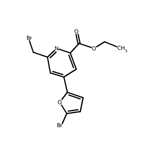 CCOC(=O)c1cc(-c2ccc(Br)o2)cc(CBr)n1